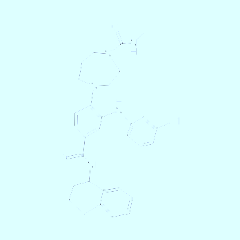 CCNC(=O)N1CCCN(c2ccc(C(=O)NC3CCCc4ccccc43)cc2Nc2cccc(Cl)c2)CC1